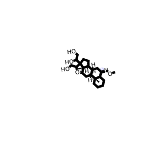 CO/N=C1/C[C@@H]2[C@@H](CC[C@@]3(C)[C@H]2CCC3(C(O)CO)C(O)CO)[C@@]2(C)CCCCC12